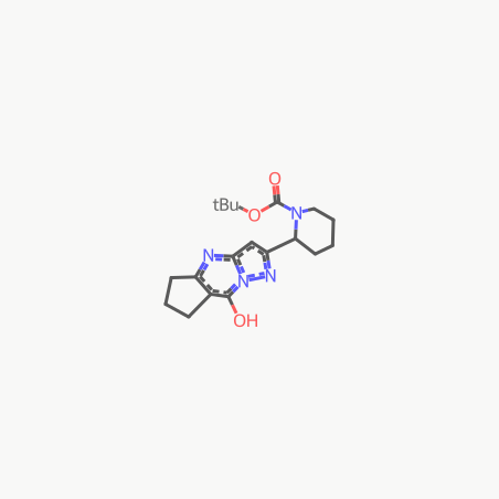 CC(C)(C)OC(=O)N1CCCCC1c1cc2nc3c(c(O)n2n1)CCC3